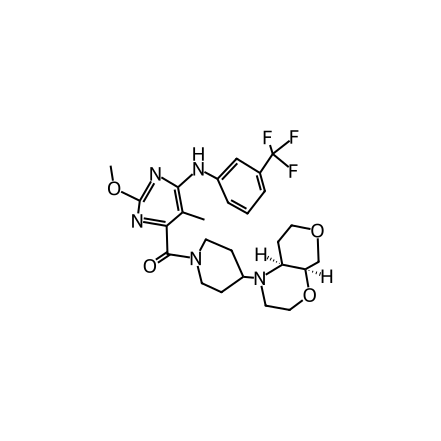 COc1nc(Nc2cccc(C(F)(F)F)c2)c(C)c(C(=O)N2CCC(N3CCO[C@@H]4COCC[C@@H]43)CC2)n1